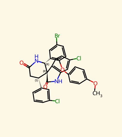 COc1ccc(Oc2ccc(Br)cc2[C@H]2NC(=O)C[C@@H](c3cccc(Cl)c3)[C@]23C(=O)Nc2cc(Cl)ccc23)cc1